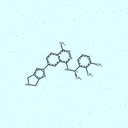 Cc1cccc([C@@H](C)Nc2nnc(C)c3ccc(-n4cc5c(n4)CNC5)cc23)c1C